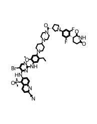 CCc1cc(Nc2ncc(Br)c(Nc3ccc4nc(C#N)ccc4c3P(C)(C)=O)n2)c(OC)cc1N1CCC(N2CCN(C(=O)[C@@H]3CCN(c4cc(F)c([C@H]5CCC(=O)NC5=O)c(F)c4)C3)CC2)CC1